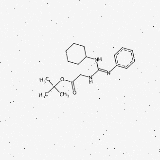 CC(C)(C)OC(=O)CNC(=Nc1ccccc1)NC1CCCCC1